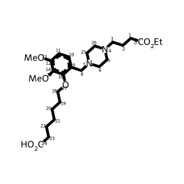 CCOC(=O)CCCN1CCN(Cc2ccc(OC)c(OC)c2OCCCCCCC(=O)O)CC1